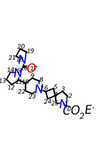 CCOC(=O)N1CCC2(CC(N3CCC(C4CCCN4C(=O)N4CCC4)CC3)C2)C1